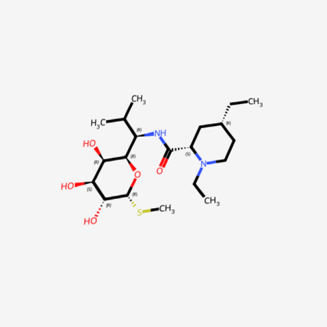 CC[C@@H]1CCN(CC)[C@H](C(=O)N[C@H](C(C)C)[C@H]2O[C@H](SC)[C@H](O)[C@@H](O)[C@H]2O)C1